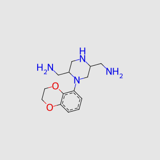 NCC1CN(c2cccc3c2OCCO3)C(CN)CN1